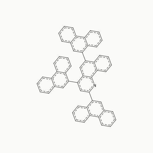 c1ccc2c(c1)cc(-c1cc(-c3cc4ccccc4c4ccccc34)c3cc(-c4cc5ccccc5c5ccccc45)c4ccccc4c3n1)c1ccccc12